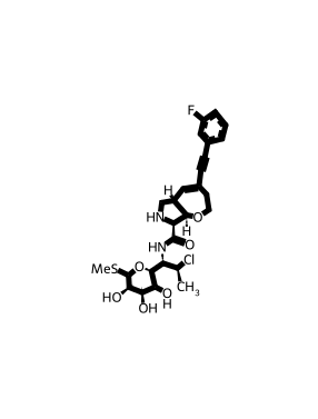 CSC1O[C@H]([C@H](NC(=O)[C@H]2NC[C@@H]3C=C(C#Cc4cccc(F)c4)CCO[C@@H]23)[C@H](C)Cl)C(O)[C@@H](O)[C@H]1O